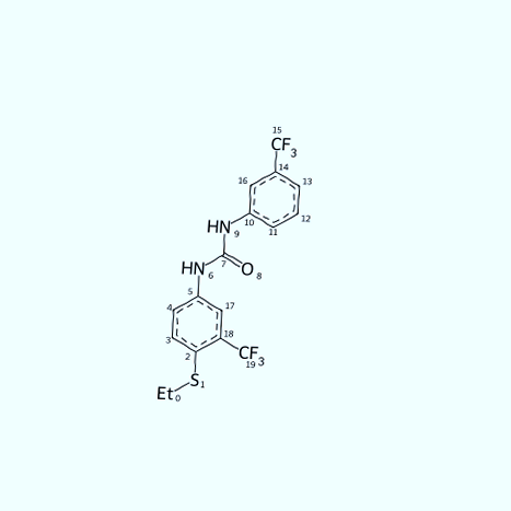 CCSc1ccc(NC(=O)Nc2cccc(C(F)(F)F)c2)cc1C(F)(F)F